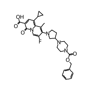 Cc1c(N2CCC(N3CCN(C(=O)OCc4ccccc4)CC3)C2)c(F)cn2c(=O)c(C(=O)O)cc(C3CC3)c12